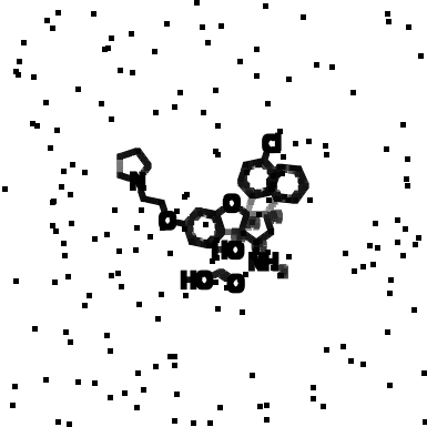 N[C@@H]1C[C@@H](c2ccccc2)[C@]2(c3ccc(Cl)cc3)Oc3cc(OCCN4CCCC4)ccc3[C@]12O.O=CO